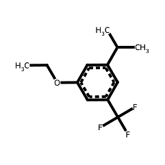 CCOc1cc([C](C)C)cc(C(F)(F)F)c1